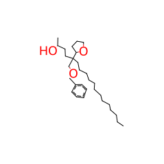 CCCCCCCCCCCCCC(CCC(C)O)(COCc1ccccc1)C1CCCO1